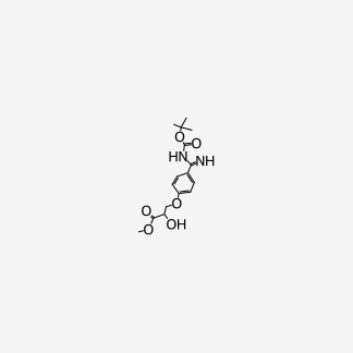 COC(=O)C(O)COc1ccc(C(=N)NC(=O)OC(C)(C)C)cc1